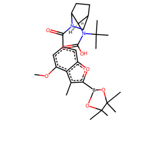 COc1cc(C(=O)N2CC3CCC2[C@@H]3N(C(=O)O)C(C)(C)C)cc2oc(B3OC(C)(C)C(C)(C)O3)c(C)c12